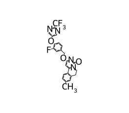 Cc1ccc2c(c1)CCn1c-2cc(OCc2ccc(Oc3cnc(C(F)(F)F)nc3)c(F)c2)nc1=O